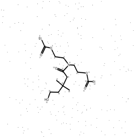 CCC(=O)OCCN(CCOC(=O)CC)C(=O)CC(C)(C)CCO